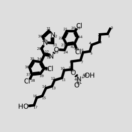 CCCCCCCCCCCCCCCCCCO.Clc1ccc(CO/N=C(\Cn2ccnc2)c2ccc(Cl)cc2Cl)c(Cl)c1.O=[N+]([O-])O